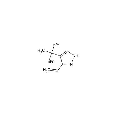 C=Cc1n[nH]cc1C(C)(CCC)CCC